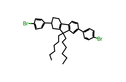 CCCCCCC1(CCCCCC)C2=C(CCC(c3ccc(Br)cc3)C2)c2ccc(-c3ccc(Br)cc3)cc21